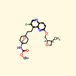 C[C@H]1CO[C@H]1COc1ccc2ncc(F)c(CCC34CCC(NC(=O)OC(C)(C)C)(CC3)CO4)c2n1